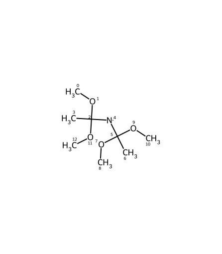 COC(C)([N]C(C)(OC)OC)OC